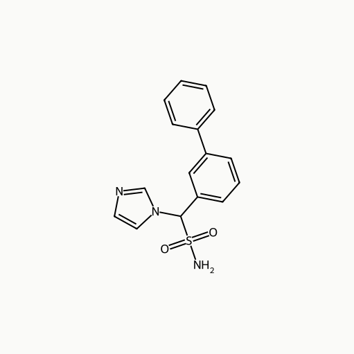 NS(=O)(=O)C(c1cccc(-c2ccccc2)c1)n1ccnc1